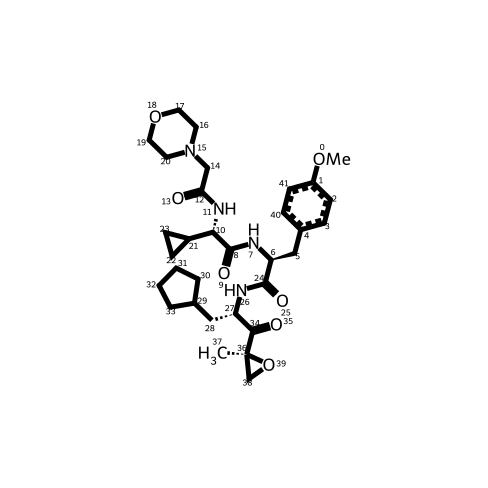 COc1ccc(C[C@H](NC(=O)[C@@H](NC(=O)CN2CCOCC2)C2CC2)C(=O)N[C@@H](CC2CCCC2)C(=O)[C@]2(C)CO2)cc1